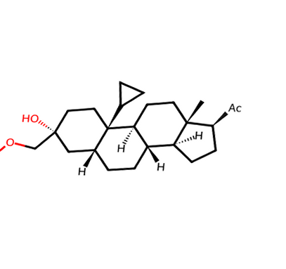 CCOC[C@@]1(O)CC[C@@]2(C3CC3)[C@H](CC[C@H]3[C@@H]4CC[C@H](C(C)=O)[C@@]4(C)CC[C@@H]32)C1